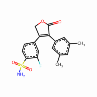 Cc1cc(C)cc(C2=C(c3ccc(S(N)(=O)=O)c(F)c3)COC2=O)c1